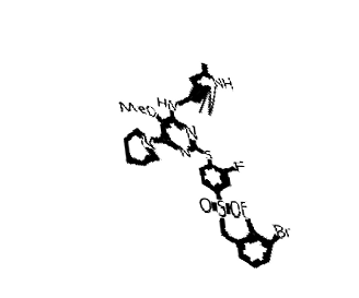 COc1c(Nc2cc(C)[nH]n2)nc(Sc2ccc(S(=O)(=O)Cc3cccc(Br)c3F)cc2F)nc1N1CCCCC1